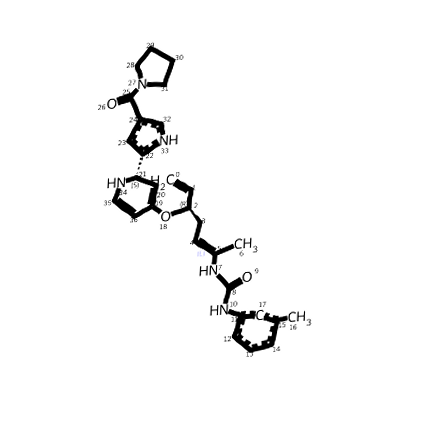 C=C[C@@H](C/C=C(\C)NC(=O)Nc1cccc(C)c1)OC1=C[C@@H](c2cc(C(=O)N3CCCC3)c[nH]2)NC=C1